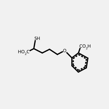 O=C(O)c1ccccc1OCCCC(S)C(=O)O